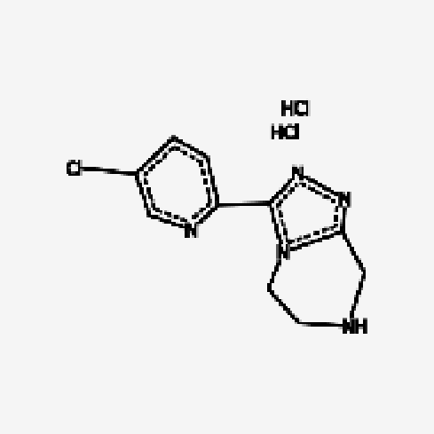 Cl.Cl.Clc1ccc(-c2nnc3n2CCNC3)nc1